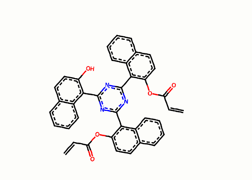 C=CC(=O)Oc1ccc2ccccc2c1-c1nc(-c2c(O)ccc3ccccc23)nc(-c2c(OC(=O)C=C)ccc3ccccc23)n1